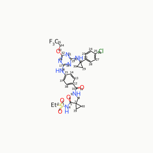 CCS(=O)(=O)NC(=O)C1(CNC(=O)c2ccc(Nc3nc(NC4(c5ccc(Cl)cc5)CC4)nc(OCC(F)(F)F)n3)cc2)CC1